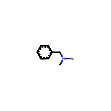 [CH2]N(Cc1ccccc1)C(C)=O